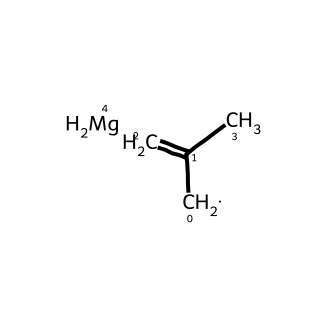 [CH2]C(=C)C.[MgH2]